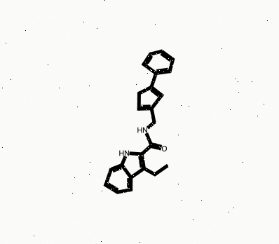 CCc1c(C(=O)NCC2=CCC(c3ccccc3)=C2)[nH]c2ccccc12